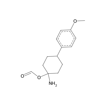 COc1ccc(C2CCC(N)(OC=O)CC2)cc1